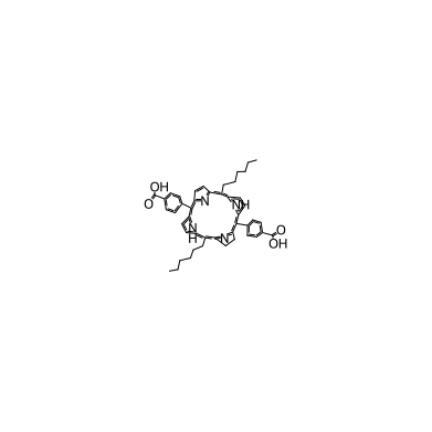 CCCCCCc1c2nc(c(-c3ccc(C(=O)O)cc3)c3ccc([nH]3)c(CCCCCC)c3nc(c(-c4ccc(C(=O)O)cc4)c4ccc1[nH]4)CC3)C=C2